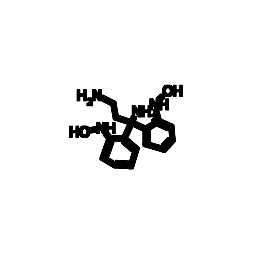 NCCC(N)(c1ccccc1NO)c1ccccc1NO